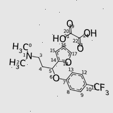 CN(C)CCC(Oc1ccc(C(F)(F)F)cc1)c1ccco1.O=C(O)C(=O)O